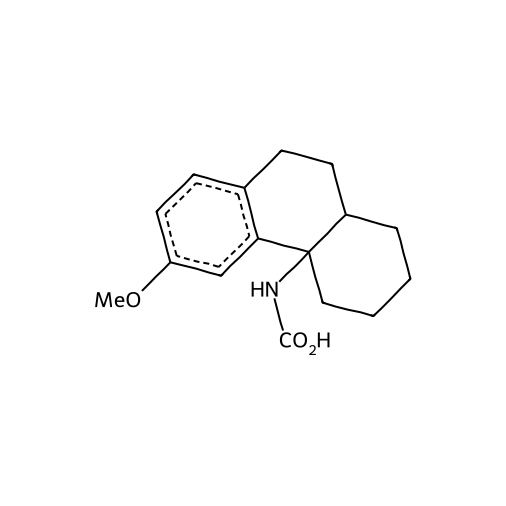 COc1ccc2c(c1)C1(NC(=O)O)CCCCC1CC2